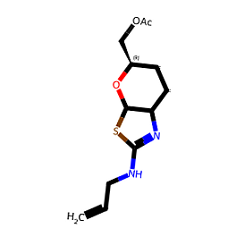 C=CCNC1=NC2[C][C][C@H](COC(C)=O)OC2S1